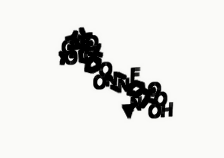 CC(C)OP(=O)(OC(C)C)C(Cc1ccc(OC(=O)N2CCN(c3cc4c(cc3F)c(=O)c(C(=O)O)cn4C3CC3)CC2)cc1)P(=O)(OC(C)C)OC(C)C